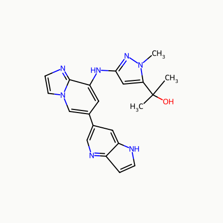 Cn1nc(Nc2cc(-c3cnc4cc[nH]c4c3)cn3ccnc23)cc1C(C)(C)O